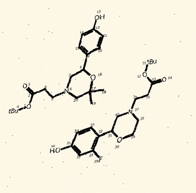 CC(C)(C)OC(=O)CCN1CC(c2ccc(O)cc2)OC(C)(C)C1.CC(C)(C)OC(=O)CCN1CCOC(c2ccc(O)cc2F)C1